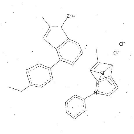 CC1=C2c3c(ccn3-c3ccccc3)C1[Si]2(C)C.CCc1ccc(-c2cccc3c2C=C(C)[CH]3[Zr+2])cc1.[Cl-].[Cl-]